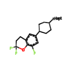 CCCCCCCC1CCC(c2cc(F)c3c(c2)CCC(F)(F)O3)CC1